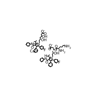 CC(C)c1c(C(=O)Nc2ccccc2)c(-c2ccccc2)c(-c2ccc(F)cc2)n1CC[C@@H](O)C[C@@H](O)CC(=O)[O-].CC(C)c1c(C(=O)Nc2ccccc2)c(-c2ccccc2)c(-c2ccc(F)cc2)n1CC[C@@H](O)C[C@H](CC(=O)[O-])OC(=O)[C@@H](N)CCCN.[Ca+2]